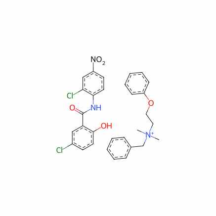 C[N+](C)(CCOc1ccccc1)Cc1ccccc1.O=C(Nc1ccc([N+](=O)[O-])cc1Cl)c1cc(Cl)ccc1O